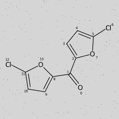 O=C(c1ccc(Cl)o1)c1ccc(Cl)o1